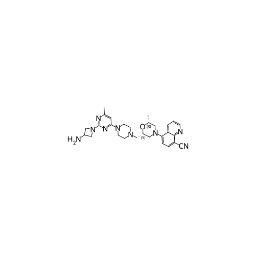 Cc1cc(N2CCN(C[C@H]3CN(c4ccc(C#N)c5ncccc45)C[C@@H](C)O3)CC2)nc(N2CC(N)C2)n1